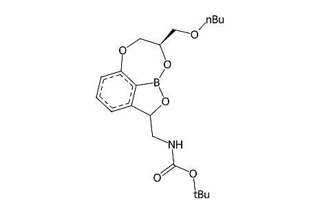 CCCCOC[C@@H]1COc2cccc3c2B(OC3CNC(=O)OC(C)(C)C)O1